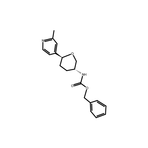 Cc1cc([C@@H]2CC[C@@H](NC(=O)OCc3ccccc3)CO2)ccn1